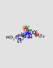 CCN(CCN(C(=O)O)C(C)(C)C)Cc1ccc2c(c1)NC(=O)c1c(Nc3cc(O[Si](C)(C)C(C)(C)C)c(C)cc3F)ccnc1N2.O=C(O)C(F)(F)F